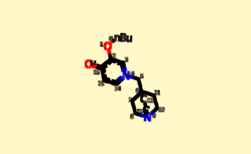 CCCCOc1cn(CC23CCN(CC2)CC3)ccc1=O